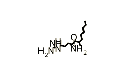 CCCCCCC(C)C(=O)[C@@H](N)CCCNC(=N)N